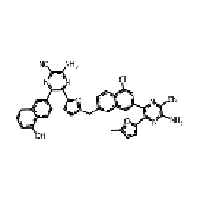 Cc1ccc(-c2nc(N)c(C#N)nc2-c2cc(Cl)c3ccc(Cc4ccc(-c5nc(N)c(C#N)nc5-c5ccc6c(O)cccc6c5)o4)cc3c2)o1